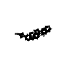 CC12CC=C3C=C4CCC(N5CC(O)C5)C[C@]45CC[C@]3(O5)C1CC[C@@H]2c1ccc2ccncc2c1